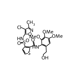 COc1cc(CCO)c(NC(=O)c2sccc2S(=O)(=O)Nc2onc(C)c2Cl)c(OC)c1OC